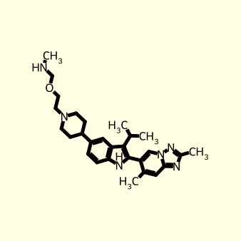 CNCOCCN1CCC(c2ccc3[nH]c(-c4cn5nc(C)nc5cc4C)c(C(C)C)c3c2)CC1